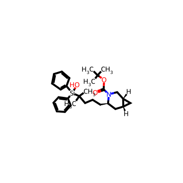 CC(C)(C)OC(=O)N1C[C@@H]2C[C@@H]2C[C@H]1CCCC(C)(C)[Si](O)(c1ccccc1)c1ccccc1